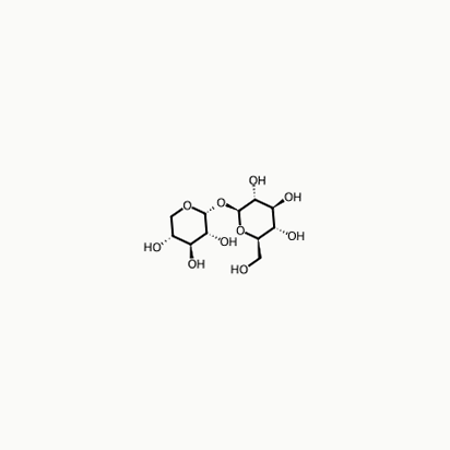 OC[C@H]1O[C@@H](O[C@H]2OC[C@@H](O)[C@H](O)[C@H]2O)[C@H](O)[C@@H](O)[C@@H]1O